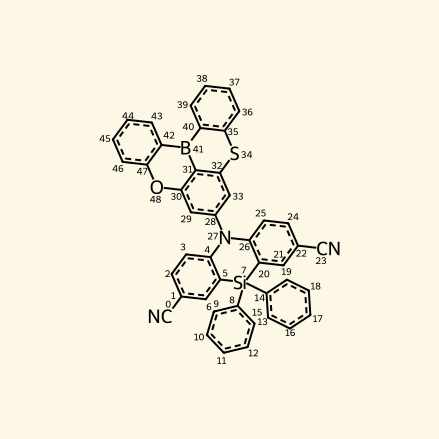 N#Cc1ccc2c(c1)[Si](c1ccccc1)(c1ccccc1)c1cc(C#N)ccc1N2c1cc2c3c(c1)Sc1ccccc1B3c1ccccc1O2